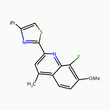 COc1ccc2c(C)cc(-c3nc(C(C)C)cs3)nc2c1F